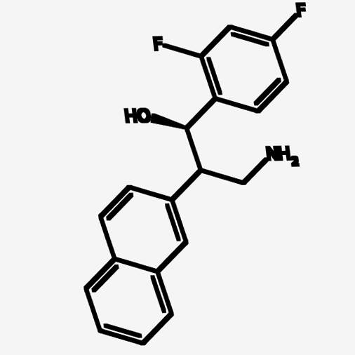 NCC(c1ccc2ccccc2c1)[C@@H](O)c1ccc(F)cc1F